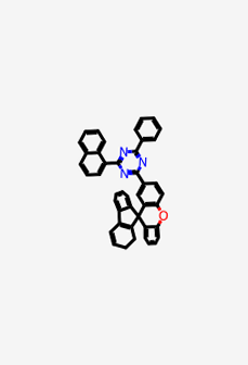 C1=CC2=C(CC1)C1(c3ccccc3Oc3ccc(-c4nc(-c5ccccc5)nc(-c5cccc6ccccc56)n4)cc31)c1ccccc12